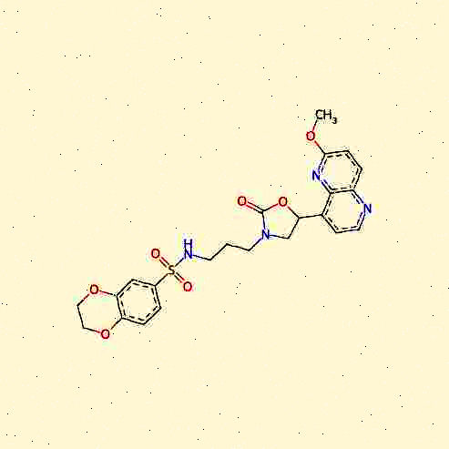 COc1ccc2nccc(C3CN(CCCNS(=O)(=O)c4ccc5c(c4)OCCO5)C(=O)O3)c2n1